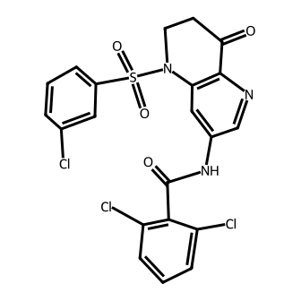 O=C1CCN(S(=O)(=O)c2cccc(Cl)c2)c2cc(NC(=O)c3c(Cl)cccc3Cl)cnc21